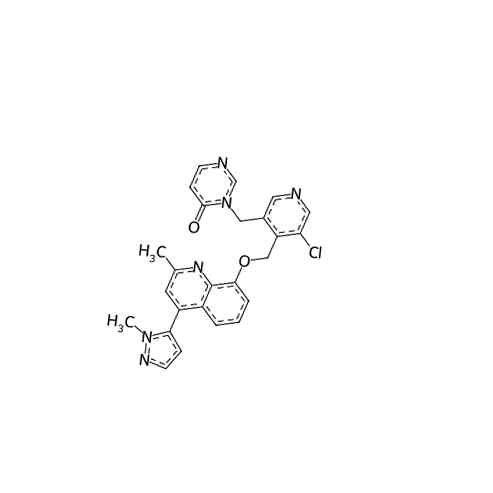 Cc1cc(-c2ccnn2C)c2cccc(OCc3c(Cl)cncc3Cn3cnccc3=O)c2n1